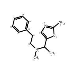 CC(c1cnc(N)s1)N(C)CCc1ccccc1